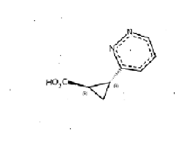 O=C(O)[C@@H]1C[C@H]1c1cccnn1